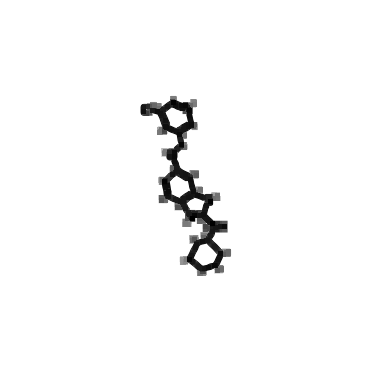 Clc1cncc(COc2ccc3nc(NC4CCCCC4)sc3c2)c1